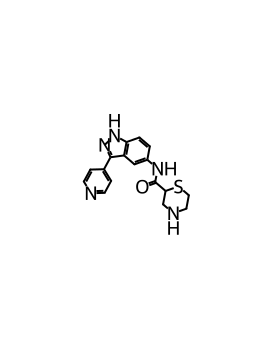 O=C(Nc1ccc2[nH]nc(-c3ccncc3)c2c1)C1CNCCS1